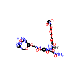 CC(C)[C@H](NC(=O)CCOCCOCCOCCOCCN1C(=O)C=CC1=O)C(=O)N[C@@H](CCCNC(N)=O)C(=O)Nc1ccc(COC(=O)NCCCOc2cc3cc(c2)-c2cnc(N)c(n2)C(=O)Nc2cnccc2N(C)CCCO3)cc1